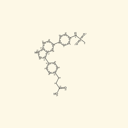 CS(=O)(=O)Nc1ccc(-c2cnc3[nH]cc(-c4ccc(CCC(=O)O)cc4)c3c2)cc1